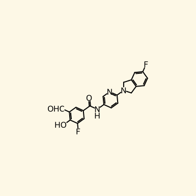 O=Cc1cc(C(=O)Nc2ccc(N3Cc4ccc(F)cc4C3)nc2)cc(F)c1O